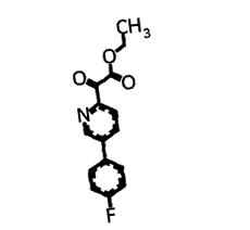 CCOC(=O)C(=O)c1ccc(-c2ccc(F)cc2)cn1